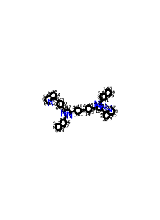 c1ccc2cc(-c3nc(-c4ccc(-c5ccc(-c6cc(-c7cccc8cccnc78)nc(-c7ccc8ccccc8c7)n6)cc5)cc4)cc(-c4ccc(-c5cccc6cccnc56)cc4)n3)ccc2c1